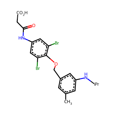 Cc1cc(COc2c(Br)cc(NC(=O)CC(=O)O)cc2Br)cc(NC(C)C)c1